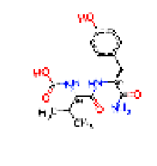 CC(C)[C@H](NC(=O)O)C(=O)N[C@@H](Cc1ccc(O)cc1)C(N)=O